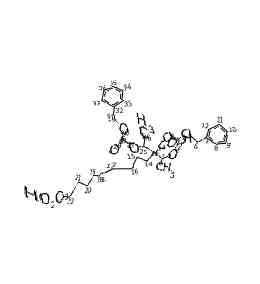 CC(OC(=O)OCc1ccccc1)C(CCCCCCCCCC(=O)O)(C(=O)O)C(C)OC(=O)OCc1ccccc1